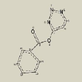 O=C(Oc1ccnnn1)c1ccccc1